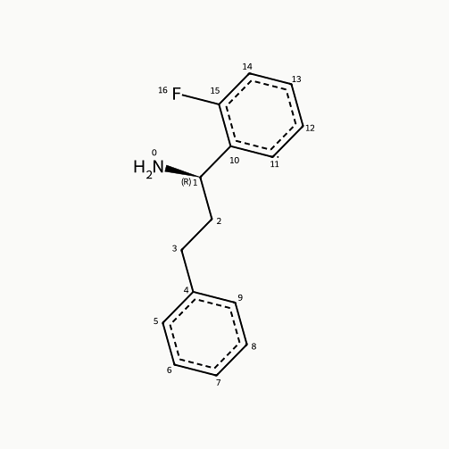 N[C@H](CCc1ccccc1)c1[c]cccc1F